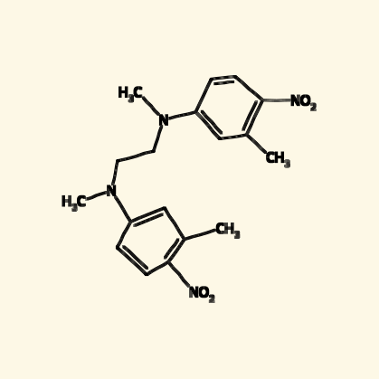 Cc1cc(N(C)CCN(C)c2ccc([N+](=O)[O-])c(C)c2)ccc1[N+](=O)[O-]